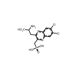 NC(Cc1nc2cc(Cl)c(Cl)cc2nc1CP(=O)(O)O)C(=O)O